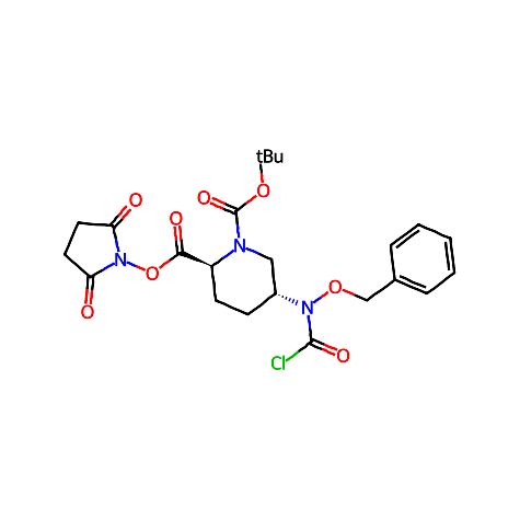 CC(C)(C)OC(=O)N1C[C@H](N(OCc2ccccc2)C(=O)Cl)CC[C@H]1C(=O)ON1C(=O)CCC1=O